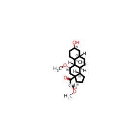 COC[C@H]1CC[C@H]2[C@@H]3CC[C@H]4C[C@H](O)CC[C@]4(C)[C@H]3[C@@H](OC)CC12C(C)=O